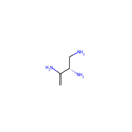 C=C(N)[C@@H](N)CN